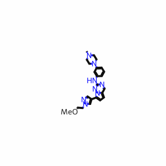 COCCn1cc(-c2ccc3cnc(Nc4cccc(N5CCN(C)CC5)c4)nn23)cn1